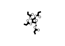 CCC(=O)OC[C@H]1OC(OC(=O)CC)[C@H](OC(=O)CC)[C@@H]1OC(=O)CC